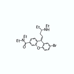 CCNC(CC)C/C=C1\c2ccc(C(=O)N(CC)CC)cc2Oc2ccc(Br)cc21